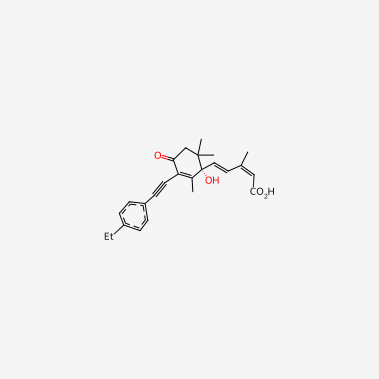 CCc1ccc(C#CC2=C(C)[C@](O)(/C=C/C(C)=C\C(=O)O)C(C)(C)CC2=O)cc1